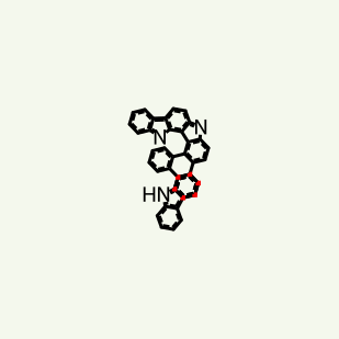 c1ccc(-c2ccc3c(c2-c2ccccc2-c2cccc4c2[nH]c2ccccc24)-c2c4c(ccc2=N3)=c2ccccc2=N4)cc1